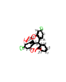 Oc1cc(Cl)ccc1C(c1ccccc1)c1ccc(Cl)cc1O